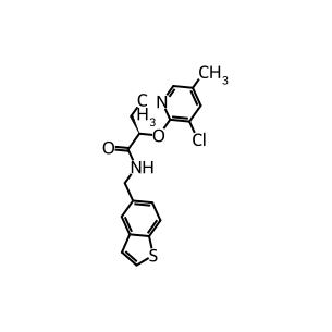 CC[C@@H](Oc1ncc(C)cc1Cl)C(=O)NCc1ccc2sccc2c1